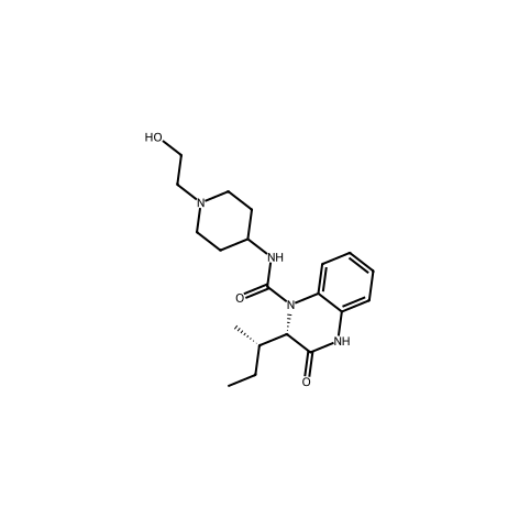 CC[C@H](C)[C@H]1C(=O)Nc2ccccc2N1C(=O)NC1CCN(CCO)CC1